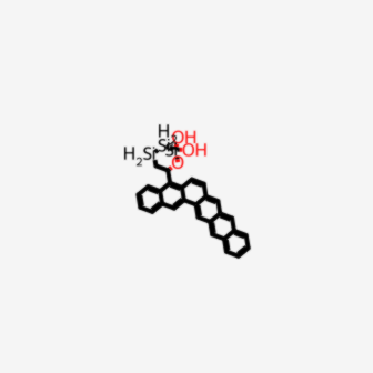 O[Si]1(O)OC(c2c3ccccc3cc3c2ccc2cc4cc5ccccc5cc4cc23)C[SiH2][SiH2]1